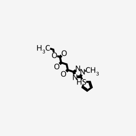 CCOC(=O)C(=O)CC(=O)c1nc([SH]2C=CC=C2)n(C)n1